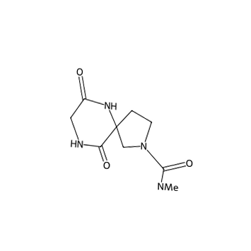 CNC(=O)N1CCC2(C1)NC(=O)CNC2=O